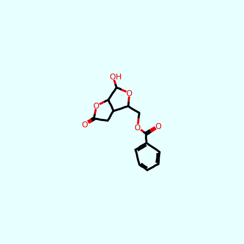 O=C1CC2C(COC(=O)c3ccccc3)OC(O)C2O1